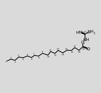 CCCCCCCCCCCCCCCCCCCC(=O)ONC(=N)N